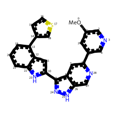 COc1cncc(-c2cc3c(-c4cc5c(-c6ccsc6)cccc5[nH]4)n[nH]c3cn2)c1